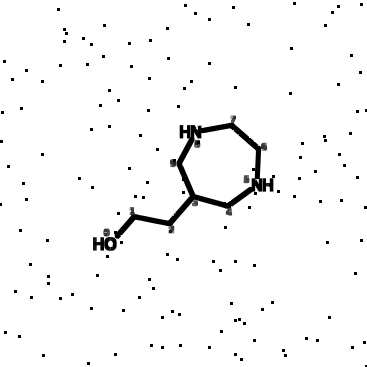 OCCC1CNCCNC1